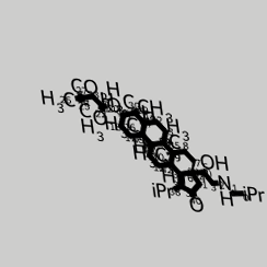 CC(C)CNC[C@H](O)[C@@]12CC[C@]3(C)[C@H](CC[C@@H]4[C@@]5(C)CC[C@H](OC(=O)CC(C)(C)C(=O)O)C(C)(C)[C@H]5CC[C@]43C)C1=C(C(C)C)C(=O)C2